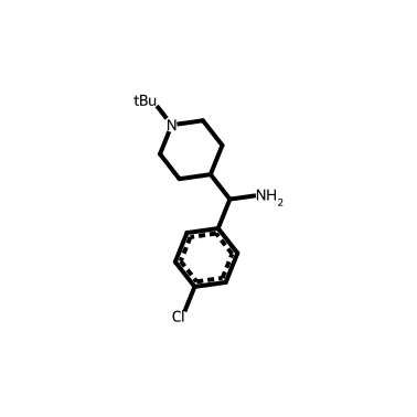 CC(C)(C)N1CCC(C(N)c2ccc(Cl)cc2)CC1